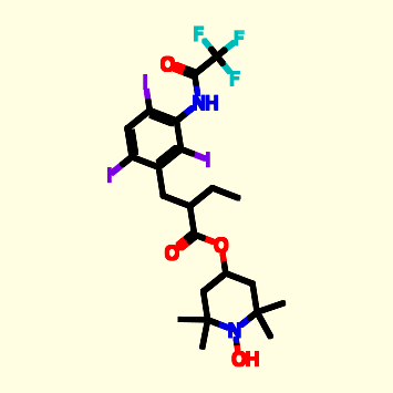 CCC(Cc1c(I)cc(I)c(NC(=O)C(F)(F)F)c1I)C(=O)OC1CC(C)(C)N(O)C(C)(C)C1